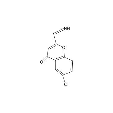 N=Cc1cc(=O)c2cc(Cl)ccc2o1